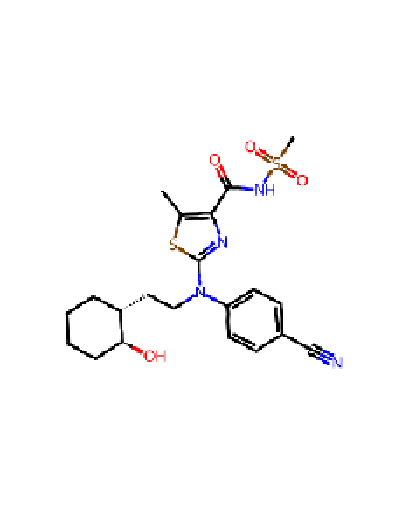 Cc1sc(N(CC[C@H]2CCCC[C@@H]2O)c2ccc(C#N)cc2)nc1C(=O)NS(C)(=O)=O